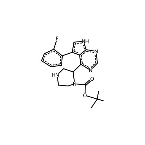 CC(C)(C)OC(=O)N1CCNCC1c1ncnc2[nH]cc(-c3ccccc3F)c12